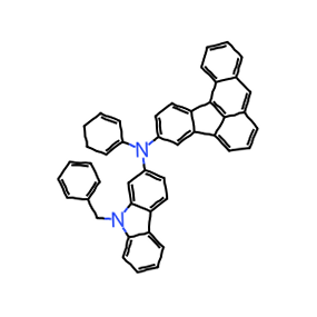 C1=CC(N(c2ccc3c(c2)-c2cccc4cc5ccccc5c-3c24)c2ccc3c4ccccc4n(Cc4ccccc4)c3c2)=CCC1